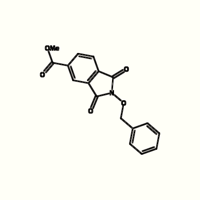 COC(=O)c1ccc2c(c1)C(=O)N(OCc1ccccc1)C2=O